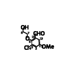 COc1cc(Cl)c(OCCO)c(C=O)c1